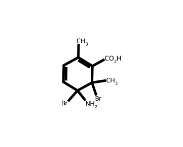 CC1=C(C(=O)O)C(C)(Br)C(N)(Br)C=C1